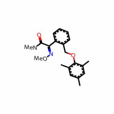 CNC(=O)C(=NOC)c1ccccc1COc1c(C)cc(C)cc1C